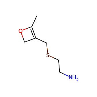 CC1=C(CSCCN)CO1